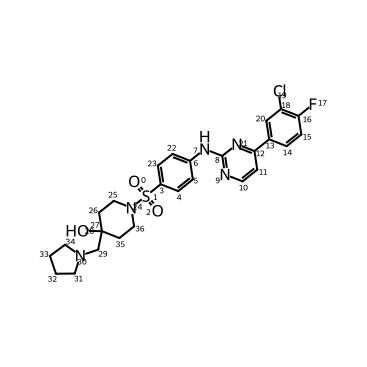 O=S(=O)(c1ccc(Nc2nccc(-c3ccc(F)c(Cl)c3)n2)cc1)N1CCC(O)(CN2CCCC2)CC1